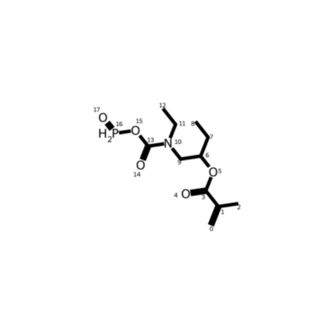 C=C(C)C(=O)OC(CC)CN(CC)C(=O)O[PH2]=O